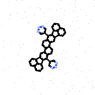 c1cc2c3c(cccc3c1)-c1c-2cc2c(ccc3c4cc5c(c(-c6cnnnc6)c4ccc23)-c2cccc3cccc-5c23)c1-c1cnnnc1